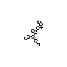 CC1(C)c2cc(-c3ccc(-c4cc(-c5ccc6ccccc6c5)nc(-c5ccc(-c6ccccc6)cc5)n4)c4ccccc34)ccc2-c2c1ccc1ccccc21